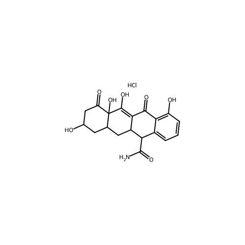 Cl.NC(=O)C1c2cccc(O)c2C(=O)C2=C(O)C3(O)C(=O)CC(O)CC3CC21